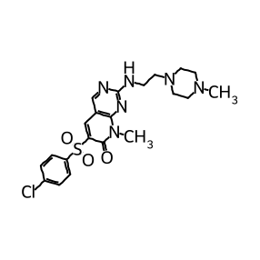 CN1CCN(CCNc2ncc3cc(S(=O)(=O)c4ccc(Cl)cc4)c(=O)n(C)c3n2)CC1